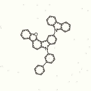 c1ccc(-c2cccc(-n3c4ccc(-n5c6ccccc6c6ccccc65)cc4c4c5oc6ccccc6c5ccc43)c2)cc1